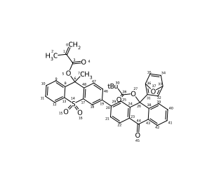 C=C(C)C(=O)OC1(C)c2ccccc2S(=O)(=O)c2cc(-c3ccc4c(c3)C(OC(=O)C(C)(C)C)(c3cc5ccc3o5)c3ccccc3C4=O)ccc21